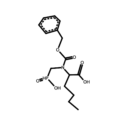 CCCCC(C(=O)O)N(C[PH](=O)O)C(=O)OCc1ccccc1